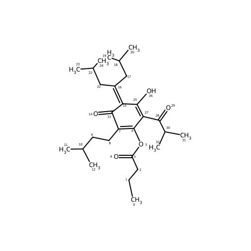 CCCC(=O)OC1=C(CCC(C)C)C(=O)C(=C(CC(C)C)CC(C)C)C(O)=C1C(=O)C(C)C